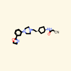 N#CCC(=O)N[C@H]1CC[C@H](CCN2CCN(c3cccc(-c4ncco4)c3)CC2)CC1